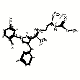 CC(C)(C)OC(=O)N[C@@H](CCN[C@@H](c1nn(-c2cc(F)ccc2F)cc1Cc1ccccc1)C(C)(C)C)C(=O)O